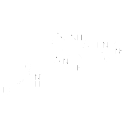 CC#CC(=O)N[C@H]1C[C@@H](n2nc(-c3ccc(C(=O)Nc4ccccn4)cc3F)c3c(N)nccc32)C1